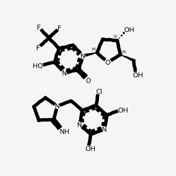 N=C1CCCN1Cc1nc(O)nc(O)c1Cl.O=c1nc(O)c(C(F)(F)F)cn1[C@H]1C[C@H](O)[C@@H](CO)O1